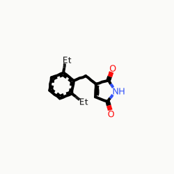 CCc1cccc(CC)c1CC1=CC(=O)NC1=O